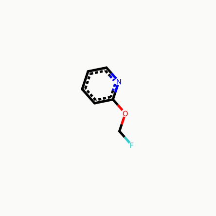 FCOc1ccccn1